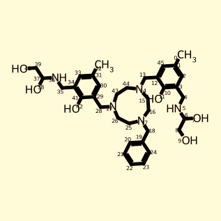 Cc1cc(CNC(O)CO)c(O)c(CN2CCN(Cc3ccccc3)CCN(Cc3cc(C)cc(CNC(O)CO)c3O)CC2)c1